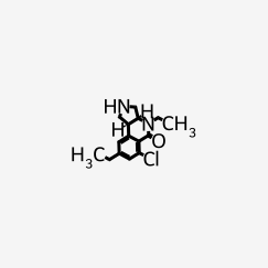 CCc1cc(Cl)c2c(c1)[C@H]1CNC[C@@H]1N(CC)C2=O